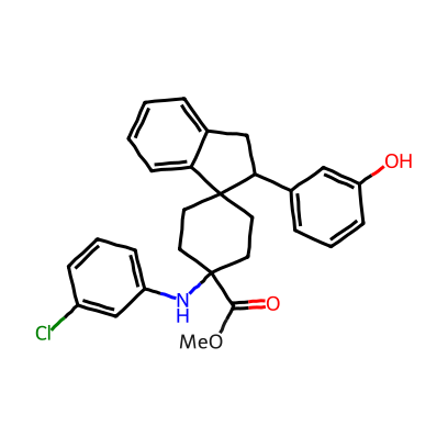 COC(=O)C1(Nc2cccc(Cl)c2)CCC2(CC1)c1ccccc1CC2c1cccc(O)c1